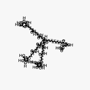 O=C(CCCCO[C@@H]1OC(CO)[C@H](O)C(O)C1O)NCCCNC(=O)CCOCC(NC(=O)CCCCCCCCCCC(=O)N1C[C@H](O)C[C@H]1CO[PH](=O)O)(OCCC(=O)NCCCNC(=O)CCCCO[C@@H]1OCC(CO)[C@H](O)C(O)C1O)OCCC(=O)NCCCNC(=O)CCCCO[C@@H]1OC(CO)[C@H](O)C(O)C1O